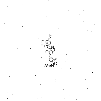 C=C(/C=C\C(=C/CF)C(F)(F)F)Oc1nccc2c1C(=O)N(Cc1ccc(C(=O)NC)c(F)c1)C2